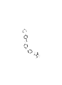 Cc1n[nH]c(C)c1C(=O)Nc1ccc(Nc2ccc(NC(=O)c3ccc(N4CCC(O)CC4)cc3)cc2)cc1